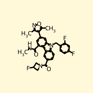 CNC(=O)c1cc(-c2c(C)noc2C)cc2c1c1cc(C(=O)N3CC(F)C3)ccc1n2Cc1ccc(F)cc1F